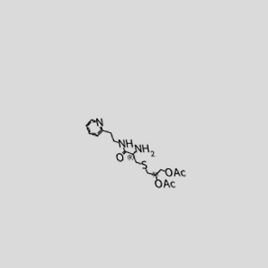 CC(=O)OC[C@H](CSC[C@H](N)C(=O)NCCc1ccccn1)OC(C)=O